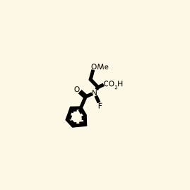 COCC(C(=O)O)N(F)C(=O)c1ccccc1